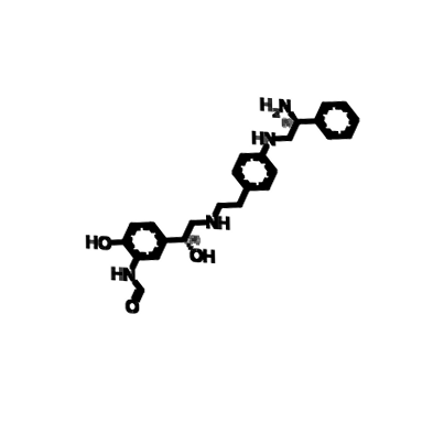 N[C@H](CNc1ccc(CCNC[C@H](O)c2ccc(O)c(NC=O)c2)cc1)c1ccccc1